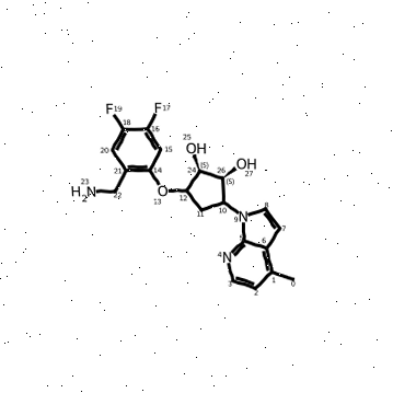 Cc1ccnc2c1ccn2C1CC(Oc2cc(F)c(F)cc2CN)[C@@H](O)[C@H]1O